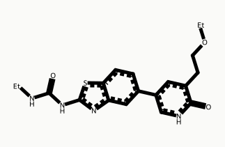 CCNC(=O)Nc1nc2cc(-c3c[nH]c(=O)c(CCOCC)c3)ccc2s1